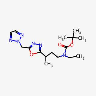 CCN(CCC(C)c1nnc(Cn2nccn2)o1)C(=O)OC(C)(C)C